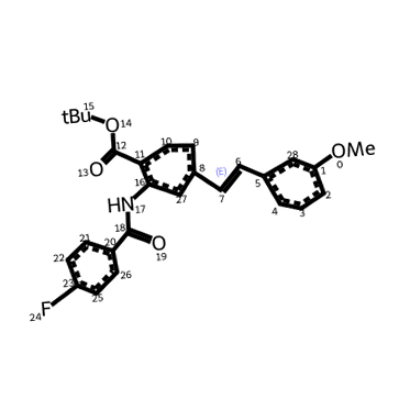 COc1cccc(/C=C/c2ccc(C(=O)OC(C)(C)C)c(NC(=O)c3ccc(F)cc3)c2)c1